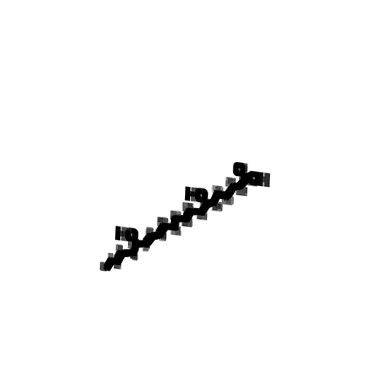 CCC=CCC(O)C=CC=CC=CC=CCC(O)CC=CCCC(=O)O